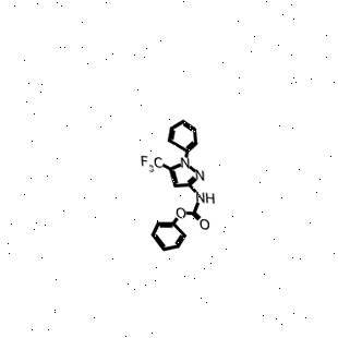 O=C(Nc1cc(C(F)(F)F)n(-c2ccccc2)n1)Oc1ccccc1